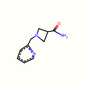 NC(=O)C1CN(Cc2ccccn2)C1